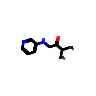 CC(C)C(=O)CNc1cccnc1